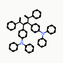 C=C(/C(=C(\C(=C)c1ccccc1)c1ccc(N(c2ccccc2)c2ccccc2)cc1)c1ccc(N(c2ccccc2)c2ccccc2)cc1)c1ccccc1